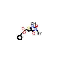 CC(C)Cn1c(=O)c2cc(C(=O)OCc3ccccc3)sc2n(C)c1=O